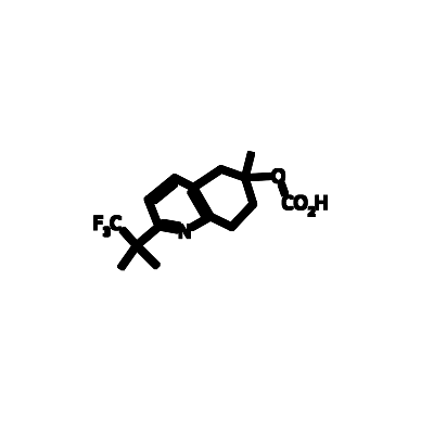 CC1(OC(=O)O)CCc2nc(C(C)(C)C(F)(F)F)ccc2C1